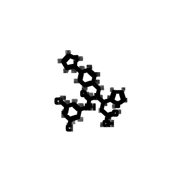 O=C(O)CC(c1cccs1)N(Cc1ccc(-c2cccs2)cc1)C(=O)Nc1cc(Cl)nc(Cl)c1